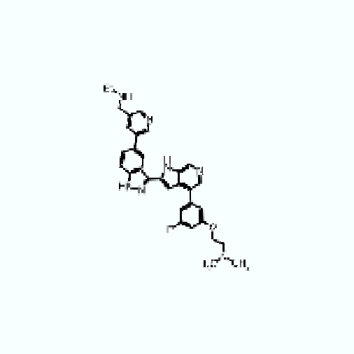 CCNCc1cncc(-c2ccc3[nH]nc(-c4cc5c(-c6cc(F)cc(OCCN(C)C)c6)cncc5[nH]4)c3c2)c1